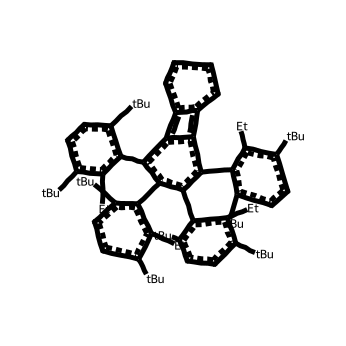 CCc1c(C(C)(C)C)ccc(C(C)(C)C)c1-c1c(-c2c(C(C)(C)C)ccc(C(C)(C)C)c2CC)c(-c2c(C(C)(C)C)ccc(C(C)(C)C)c2CC)c2c(c1-c1c(C(C)(C)C)ccc(C(C)(C)C)c1CC)=c1ccccc1=2